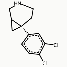 Clc1ccc([C@@]23CCNCC2C3)cc1Cl